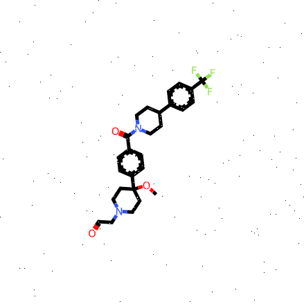 COC1(c2ccc(C(=O)N3CCC(c4ccc(C(F)(F)F)cc4)CC3)cc2)CCN(CC=O)CC1